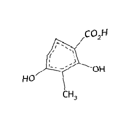 Cc1c(O)ccc(C(=O)O)c1O